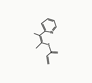 C=CC(=C)S/C(C)=C(/C)c1ccccn1